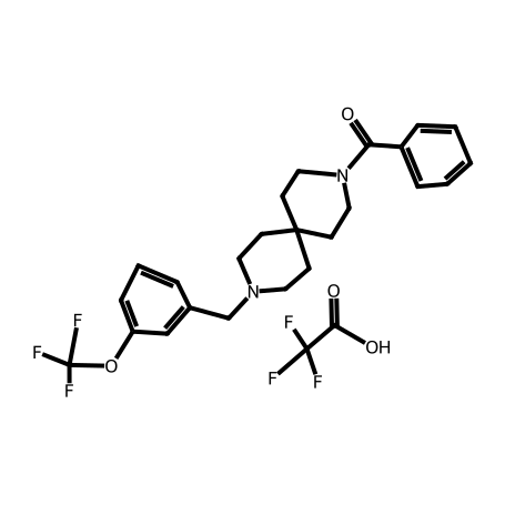 O=C(O)C(F)(F)F.O=C(c1ccccc1)N1CCC2(CCN(Cc3cccc(OC(F)(F)F)c3)CC2)CC1